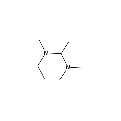 CCN(C)C(C)N(C)C